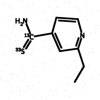 CCc1cc([13C](N)=[33S])ccn1